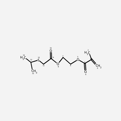 C=C(C)C(=O)OCCOC(=O)CSC(C)C